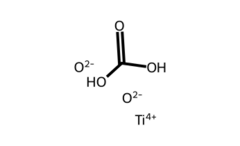 O=C(O)O.[O-2].[O-2].[Ti+4]